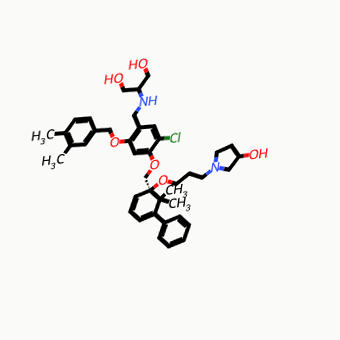 Cc1ccc(COc2cc(OC[C@@]3(OCCCN4CCC(O)C4)C=CC=C(c4ccccc4)C3(C)C)c(Cl)cc2CNC(CO)CO)cc1C